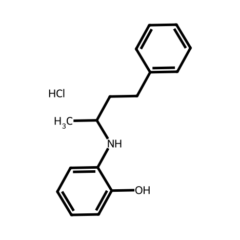 CC(CCc1ccccc1)Nc1ccccc1O.Cl